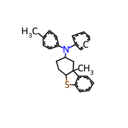 Cc1ccc(N(c2ccccc2)C2CCC3Sc4ccccc4C3(C)C2)cc1